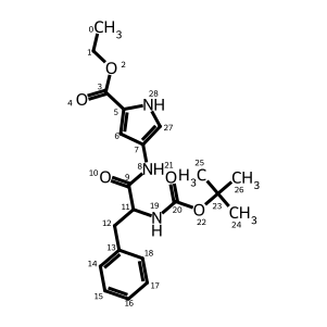 CCOC(=O)c1cc(NC(=O)C(Cc2ccccc2)NC(=O)OC(C)(C)C)c[nH]1